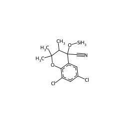 CC1C(C)(C)Oc2c(Cl)cc(Cl)cc2C1(C#N)O[SiH3]